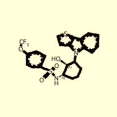 O=S(=O)(N[C@H]1CCCC(n2c3ccccc3c3sccc32)[C@@H]1O)c1ccc(OC(F)(F)F)cc1